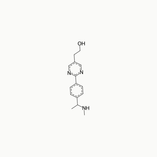 CNC(C)c1ccc(-c2ncc(CCO)cn2)cc1